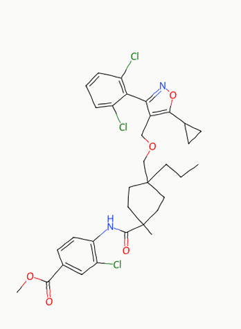 CCCC1(COCc2c(-c3c(Cl)cccc3Cl)noc2C2CC2)CCC(C)(C(=O)Nc2ccc(C(=O)OC)cc2Cl)CC1